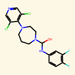 OC(Nc1ccc(F)c(F)c1)N1CCCN(c2c(Cl)cncc2Cl)CC1